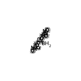 BCC1(C)c2cc(-c3cccc4c3sc3nc5ccccc5n34)c(C(C)(C)C)cc2Oc2cc(C(C)(C)C)c(-c3cccc4c3sc3nc5ccccc5n34)cc21